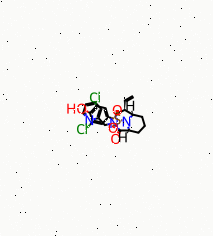 C=C[C@@H]1CN(Cc2ccccn2)C(=O)[C@@H]2CCC[C@H]1N2S(=O)(=O)c1cc(Cl)c(O)c(Cl)c1